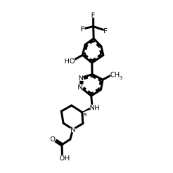 Cc1cc(N[C@@H]2CCCN(CC(=O)O)C2)nnc1-c1ccc(C(F)(F)F)cc1O